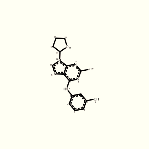 Oc1cccc(Nc2nc(F)nc3c2ncn3C2CCCO2)c1